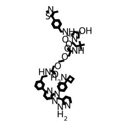 Cc1ncsc1-c1ccc(CNC(=O)[C@@H]2C[C@@H](O)CN2C(=O)C(NC(=O)COCCOCC(=O)NCCc2cccc(-c3ccc4nc(-c5cccnc5N)n(-c5ccc(C6(N)CCC6)cc5)c4n3)c2)C(C)(C)C)cc1